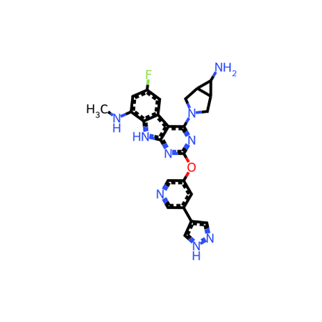 CNc1cc(F)cc2c1[nH]c1nc(Oc3cncc(-c4cn[nH]c4)c3)nc(N3CC4C(N)C4C3)c12